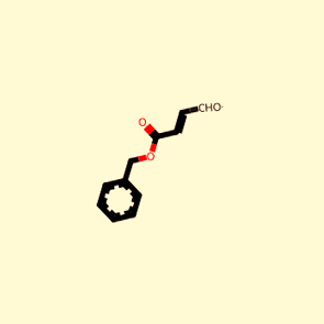 O=[C]C=CC(=O)OCc1ccccc1